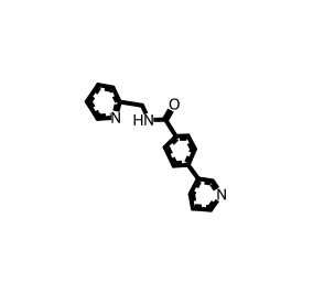 O=C(NCc1ccccn1)c1ccc(-c2cccnc2)cc1